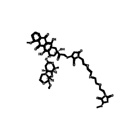 COc1cccc2c1C(=O)c1c(O)c3c(c(O)c1C2=O)C[C@@](O)(C(=O)CSC1CC(=O)N(CCOCCOCCOCCN2C(=O)CC(SC)C2=O)C1=O)C[C@@H]3O[C@H]1C[C@H]2[C@H](O[C@@H]3[C@@H](OC)OCCN32)[C@H](C)O1